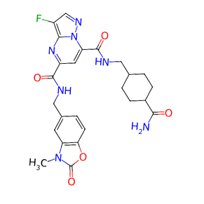 Cn1c(=O)oc2ccc(CNC(=O)c3cc(C(=O)NCC4CCC(C(N)=O)CC4)n4ncc(F)c4n3)cc21